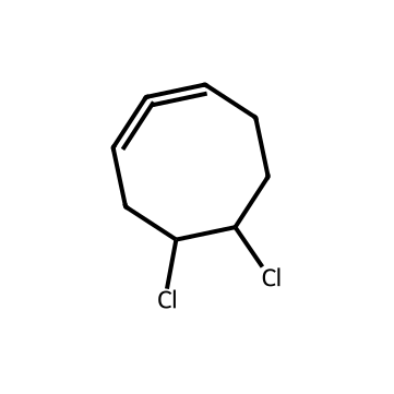 ClC1CC=C=CCCC1Cl